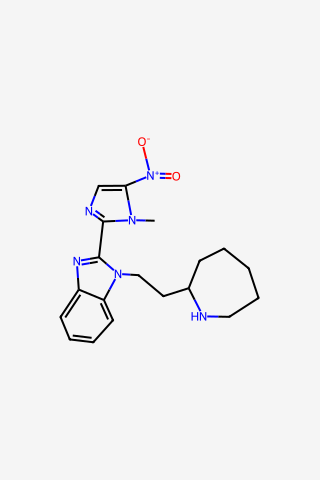 Cn1c([N+](=O)[O-])cnc1-c1nc2ccccc2n1CCC1CCCCCN1